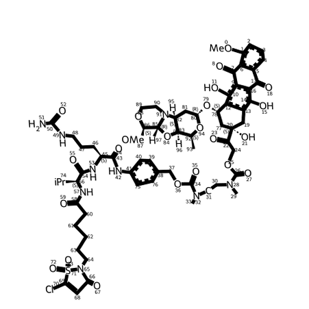 COc1cccc2c1C(=O)c1c(O)c3c(c(O)c1C2=O)C[C@@](O)(C(=O)COC(=O)N(C)CCN(C)C(=O)OCc1ccc(NC(=O)[C@H](CCCNC(N)=O)NC(=O)[C@@H](NC(=O)CCCCCN2C(=O)C=C(Cl)S2(=O)=O)C(C)C)cc1)C[C@@H]3O[C@H]1C[C@H]2[C@H](O[C@@H]3[C@@H](OC)OCCN32)[C@H](C)O1